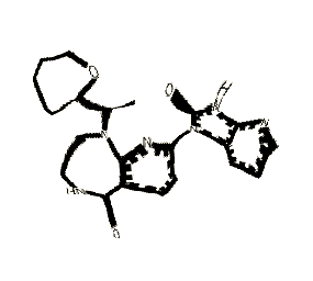 C[C@H]([C@H]1CCCCO1)N1CCNC(=O)c2ccc(-n3c(=O)[nH]c4ncccc43)nc21